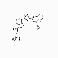 C=C/C=C(\C=C(\C#N)COC(C)C)c1nnc(-c2cccc3c2CCC3NCCN(O)SC)s1